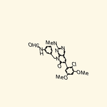 CNc1ncc2cc(-c3cc(OC)cc(OC)c3Cl)c(=O)n(Cc3cccc(NC=O)c3)c2n1